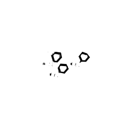 C.O=C=Nc1ccccc1.O=C=Nc1ccccc1.O=C=Nc1ccccc1